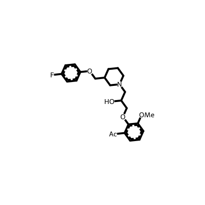 COc1cccc(C(C)=O)c1OCC(O)CN1CCCC(COc2ccc(F)cc2)C1